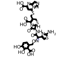 Nc1nc(/C(=N/OCc2ccc(O)c(O)c2C(=O)O)C(=O)N[C@@H]2C(=O)N3C(C(=O)O)=C(CSc4cc(C(=O)O)nc5cnnn45)CS[C@H]23)cs1